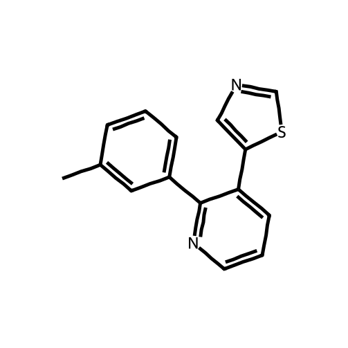 Cc1cccc(-c2ncccc2-c2cncs2)c1